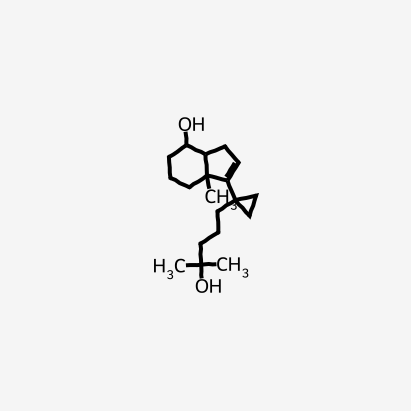 CC(C)(O)CCCC1(C2=CCC3C(O)CCCC23C)CC1